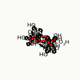 NCCCC[C@H](NC(=O)[C@@H]1CCCN1C(=O)CNC(=O)[C@@H]1C[C@@H](O)CN1C(=O)[C@@H]1CCCN1C(=O)CNC(=O)[C@@H]1C[C@@H](O)CN1C(=O)[C@@H]1CCCN1C(=O)CNC(=O)[C@@H]1C[C@@H](O)CN1C(=O)[C@@H]1CCCN1)C(=O)NCC(=O)N1CCC[C@H]1C(=O)N1C[C@H](O)C[C@H]1C(=O)NCC(=O)N1CCC[C@H]1C(=O)N1C[C@H](O)C[C@H]1C(=O)NCC(=O)N1CCC[C@H]1C(=O)N1C[C@H](O)C[C@H]1C(=O)O